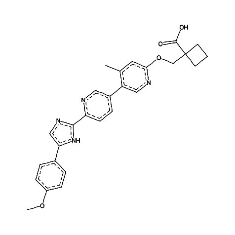 COc1ccc(-c2cnc(-c3ccc(-c4cnc(OCC5(C(=O)O)CCC5)cc4C)cn3)[nH]2)cc1